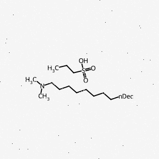 CCCCCCCCCCCCCCCCCCN(C)C.CCCS(=O)(=O)O